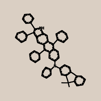 CC1(C)c2ccccc2-c2ccc(N(c3ccccc3)c3ccc4c(-c5ccccc5)c5cc6[nH]c(-c7ccccc7)c(-c7ccccc7)c6cc5c(-c5ccccc5)c4c3)cc21